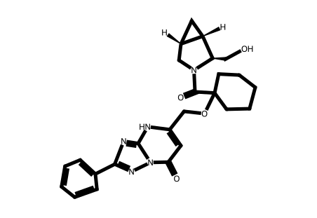 O=C(N1C[C@@H]2C[C@@H]2[C@H]1CO)C1(OCc2cc(=O)n3nc(-c4ccccc4)nc3[nH]2)CCCCC1